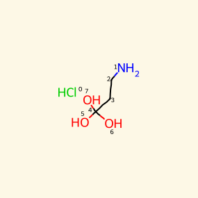 Cl.NCCC(O)(O)O